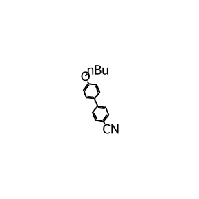 [CH2]CCCOc1ccc(-c2ccc(C#N)cc2)cc1